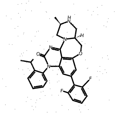 CC(C)c1ccccc1-n1c(=O)nc2c3c(cc(-c4c(F)cccc4F)cc31)OC[C@@H]1CN[C@H](C)CN21